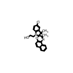 CC1(C)c2cc(Cl)ccc2N(CCO)C12C=Nc1c(ccc3ccccc13)O2